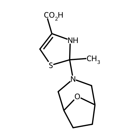 CC1(N2CC3CCC(C2)O3)NC(C(=O)O)=CS1